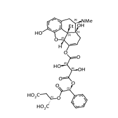 CC[C@]12c3c4ccc(O)c3O[C@H]1C(OC(=O)[C@H](O)[C@@H](O)C(=O)O[C@H](C(=O)O[C@@H](CC(=O)O)C(=O)O)c1ccccc1)=CC[C@@]2(O)[C@H](NC)C4